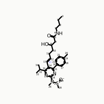 CCCCNC(=O)CC(O)CC/C=C/c1c(-c2ccc(C)cc2)nc(N(C)[S+](C)[O-])nc1C(C)C